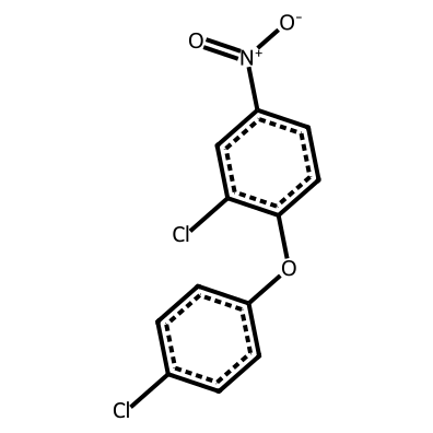 O=[N+]([O-])c1ccc(Oc2ccc(Cl)cc2)c(Cl)c1